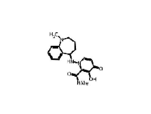 CNC(=O)c1c(O)c(=O)ccn1NC1CCCN(C)c2ccccc21